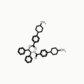 CC1CCC(c2ccc(C(=O)O[C@H](c3ccccc3)[C@H](OC(=O)c3ccc(C4CCC(C)CC4)cc3)c3ccccc3)cc2)CC1